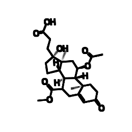 COC(=O)C1CC2=CC(=O)CC[C@]2(C)[C@@H]2[C@@H]1[C@@H]1CC[C@@](O)(CCC(=O)O)[C@@]1(C)C[C@H]2OC(C)=O